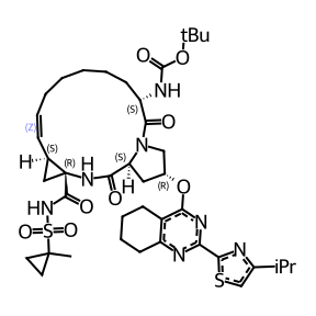 CC(C)c1csc(-c2nc3c(c(O[C@@H]4C[C@H]5C(=O)N[C@]6(C(=O)NS(=O)(=O)C7(C)CC7)C[C@H]6/C=C\CCCCC[C@H](NC(=O)OC(C)(C)C)C(=O)N5C4)n2)CCCC3)n1